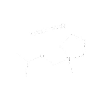 CC(C)OC[N+]1(C)CCCC1.[N-]=C=O